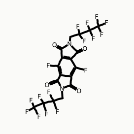 O=c1c2c(F)c3c(=O)n(CC(F)(F)C(F)(F)C(F)(F)F)c(=O)c3c(F)c2c(=O)n1CC(F)(F)C(F)(F)C(F)(F)F